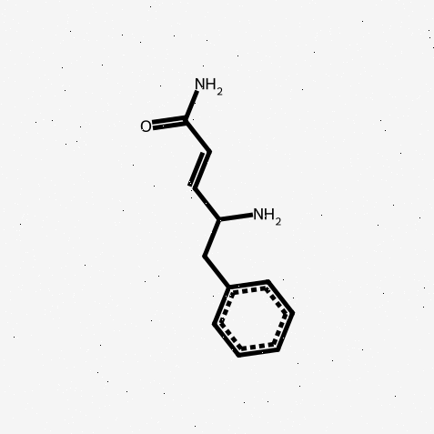 NC(=O)C=CC(N)Cc1ccccc1